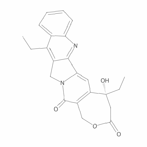 CCc1c2c(nc3ccccc13)-c1cc3c(c(=O)n1C2)COC(=O)C[C@]3(O)CC